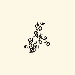 CNC(=O)c1ccccc1Sc1ccc2c(/C=C/c3ccccn3)nn(C(=O)N(CCC(=O)OCc3ccccc3)C[C@@H]3CCCN3C(=O)CC[C@H](NC(=O)OC(C)(C)C)C(=O)OC(C)(C)C)c2c1